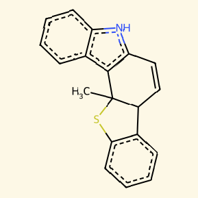 CC12Sc3ccccc3C1C=Cc1[nH]c3ccccc3c12